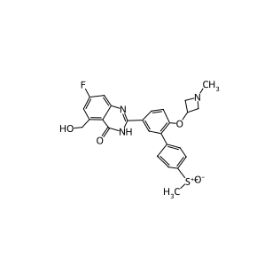 CN1CC(Oc2ccc(-c3nc4cc(F)cc(CO)c4c(=O)[nH]3)cc2-c2ccc([S+](C)[O-])cc2)C1